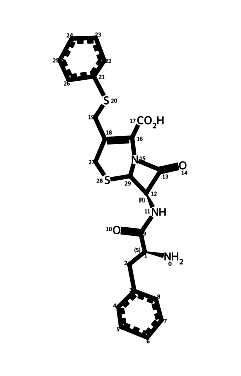 N[C@@H](Cc1ccccc1)C(=O)N[C@@H]1C(=O)N2C(C(=O)O)=C(CSc3ccccc3)CSC12